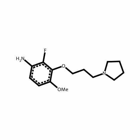 COc1ccc(N)c(F)c1OCCCN1CCCC1